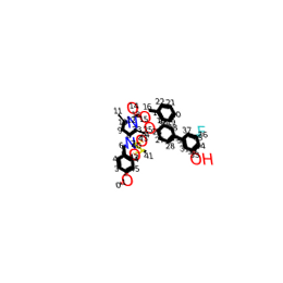 COc1ccc(CN([C@H]2C[C@@H](C)N(C(=O)OCc3ccccc3)[C@H]2COC2CC=C(c3cc(O)cc(F)c3)CC2)S(C)(=O)=O)cc1